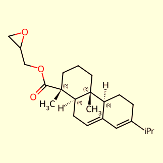 CC(C)C1=CC2=CC[C@@H]3[C@](C)(CCC[C@@]3(C)C(=O)OCC3CO3)[C@H]2CC1